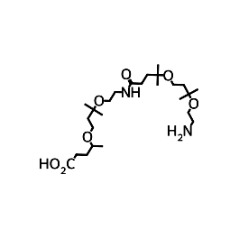 CC(CCC(=O)O)OCCC(C)(C)OCCNC(=O)CCC(C)(C)OCCC(C)(C)OCCN